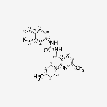 CC1CCN(c2nc(C(F)(F)F)ccc2CNC(=O)Nc2ccc3ccncc3c2)CC1